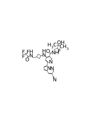 CC(C)(O)C(F)CNC(=O)c1cnc(-c2ccc3cc(C#N)cnn23)cc1NC1CC(CNC(=O)C(F)(F)F)C1